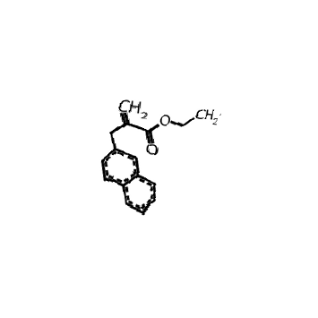 [CH2]COC(=O)C(=C)Cc1ccc2ccccc2c1